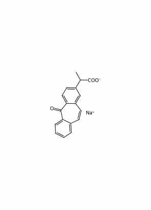 CC(C(=O)[O-])c1ccc2c(=O)c3ccccc3ccc2c1.[Na+]